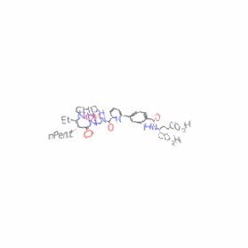 CCCCC[C@@H](C(=O)NCNC(=O)c1cccc(-c2ccc(C(=O)N[C@@H](CCC(=O)O)C(=O)O)cc2)n1)[C@@H](CC)N(O)C=O